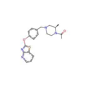 CC(=O)N1CCN(Cc2ccc(Oc3nc4ncccc4s3)cc2)C[C@H]1C